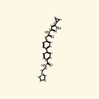 O=C(Cc1ccc(-c2ccc(C(=O)NCCN3CCCC3)cc2)cc1)Nc1cc(C2CC2)[nH]n1